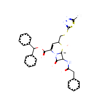 Cc1nnc(SCC2C=C(C(=O)OC(c3ccccc3)c3ccccc3)N3C(=O)C(NC(=O)Cc4ccccc4)[C@H]3[S+]2[O-])s1